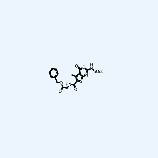 CCCCCCCCNc1nc2sc(C(=O)NCC(=O)OCc3ccccc3)c(C)c2c(=O)o1